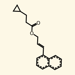 O=C(CCC1CC1)OC/C=C/c1cccc2ccccc12